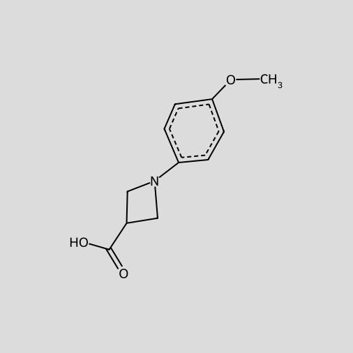 COc1ccc(N2CC(C(=O)O)C2)cc1